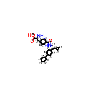 N[C@@H](Cc1ccc(C(=O)NC[C@@H](c2ccc(-c3ccccc3)cc2)C2CC2)cc1)C(=O)O